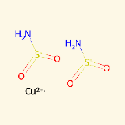 N[S-](=O)=O.N[S-](=O)=O.[Cu+2]